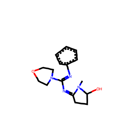 CN1/C(=N\C(=N\c2ccccc2)N2CCOCC2)CCC1O